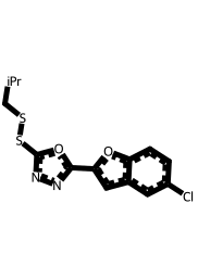 CC(C)CSSc1nnc(-c2cc3cc(Cl)ccc3o2)o1